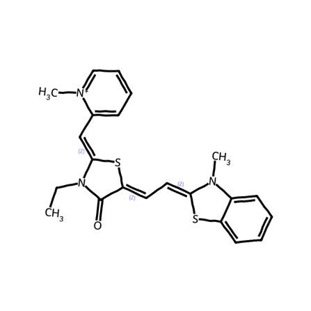 CCn1c(=O)/c(=C/C=C2\Sc3ccccc3N2C)s/c1=C\c1cccc[n+]1C